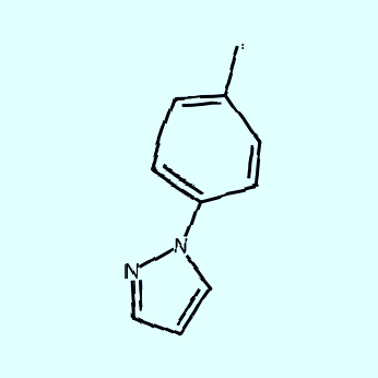 [CH]c1ccc(-n2cccn2)cc1